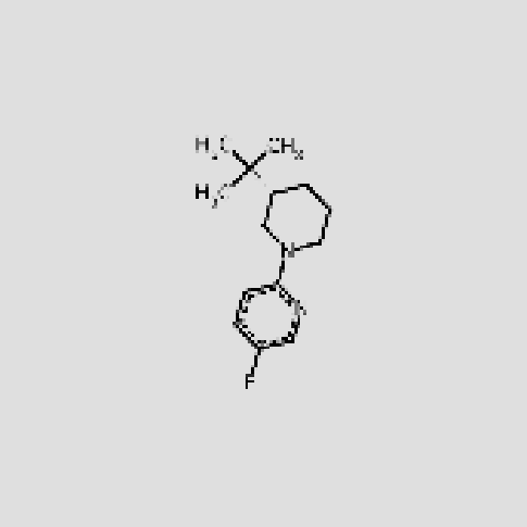 CC(C)(C)[C@@H]1CCCN(c2ccc(F)cn2)C1